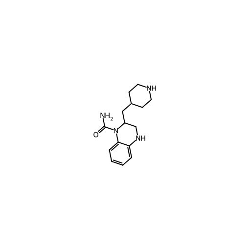 NC(=O)N1c2ccccc2NCC1CC1CCNCC1